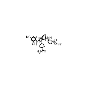 CC(C)OC(=O)N1CCC[C@@H](Nc2ncc3nc(Nc4c(F)cc(C#N)cc4Cl)n([C@H]4CC[C@H](C(N)=O)CC4)c3n2)C1